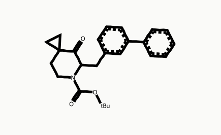 CC(C)(C)OC(=O)N1CCC2(CC2)C(=O)C1Cc1cccc(-c2ccccc2)c1